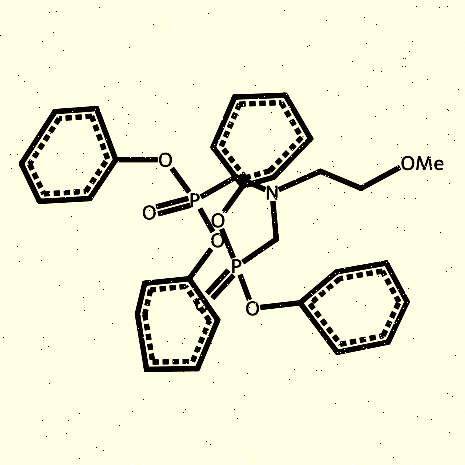 COCCN(CP(=O)(Oc1ccccc1)Oc1ccccc1)CP(=O)(Oc1ccccc1)Oc1ccccc1